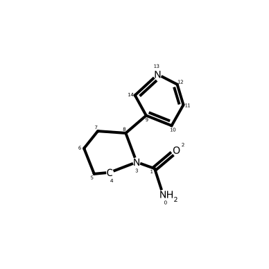 NC(=O)N1CCCCC1c1cccnc1